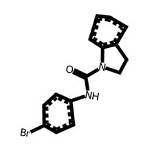 O=C(Nc1ccc(Br)cc1)N1CCc2ccccc21